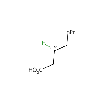 CCCC[C@@H](F)CC(=O)O